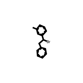 Cc1cccc(C(Br)Cc2ccccc2)c1